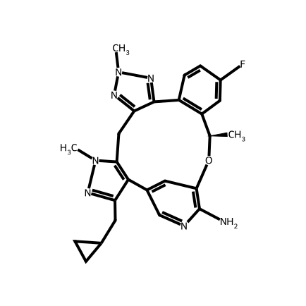 C[C@H]1Oc2cc(cnc2N)-c2c(CC3CC3)nn(C)c2Cc2nn(C)nc2-c2ccc(F)cc21